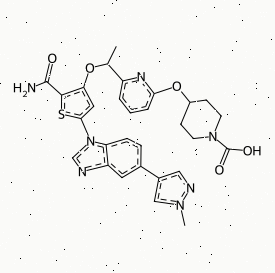 CC(Oc1cc(-n2cnc3cc(-c4cnn(C)c4)ccc32)sc1C(N)=O)c1cccc(OC2CCN(C(=O)O)CC2)n1